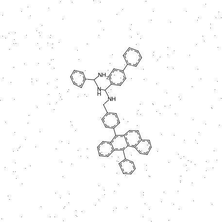 NC(NC(NCc1ccc(-c2c3ccccc3c(-c3ccccc3)c3c2ccc2ccccc23)cc1)c1ccc(-c2ccccc2)cc1)c1ccccc1